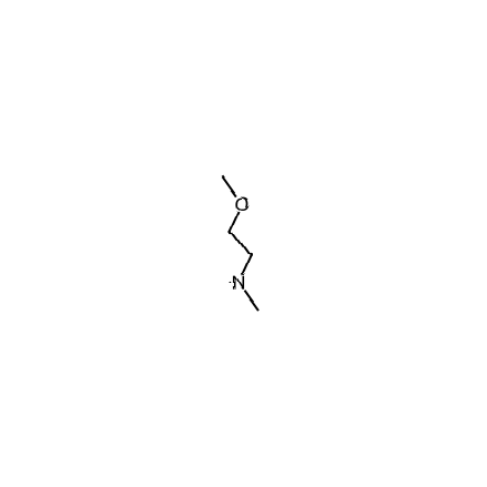 C[N]CCOC